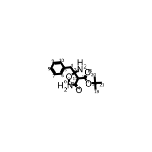 COC(N)(Cc1ccccc1)C(C(N)=O)C(=O)OC(C)(C)C